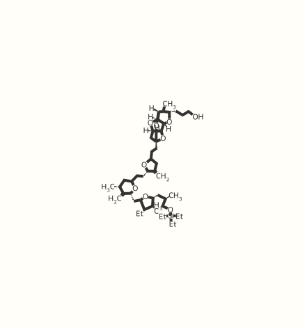 C=C1CC(CC[C@@]23C[C@H]4O[C@@H]5[C@@H](O[C@@H](CCCO)C(C)[C@@H]5O2)[C@H]4O3)O[C@H]1CCC1C[C@@H](C)C(=C)[C@@H](CC2O[C@H](C[C@H](C)CO[Si](CC)(CC)CC)[C@H](C)[C@H]2CC)O1